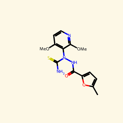 COc1ccnc(OC)c1N(NC(=O)c1ccc(C)o1)C(N)=S